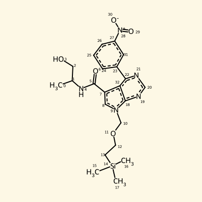 CC(CO)NC(=O)c1cn(COCC[Si](C)(C)C)c2ncnc(-c3cccc([N+](=O)[O-])c3)c12